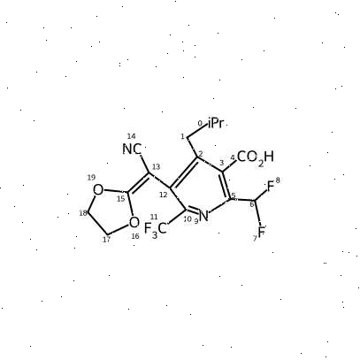 CC(C)Cc1c(C(=O)O)c(C(F)F)nc(C(F)(F)F)c1C(C#N)=C1OCCO1